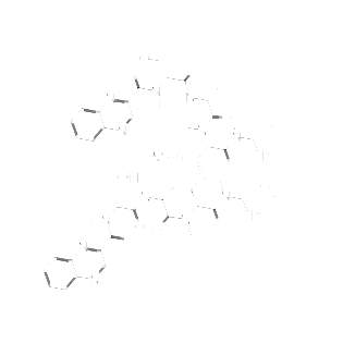 CS[C@@H](SC[C@@H](C(=O)N(C)[C@H](C(=O)O)C(C)C)N(C)C(=O)[C@H](C)NC(=O)[C@@H](CO)NC(=O)c1cnc2ccccc2n1)[C@@H](C(=O)N(C)[C@H](C(=O)O)C(C)C)N(C)C(=O)[C@H](C)NC(=O)[C@@H](CO)NC(=O)c1cnc2ccccc2n1